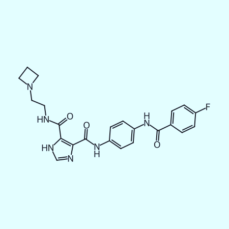 O=C(Nc1ccc(NC(=O)c2nc[nH]c2C(=O)NCCN2CCC2)cc1)c1ccc(F)cc1